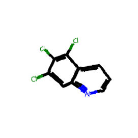 Clc1cc2ncccc2c(Cl)c1Cl